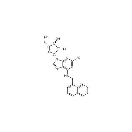 N#Cc1nc(NCc2cccc3ccccc23)c2ncn([C@@H]3O[C@H](CO)[C@@H](O)[C@@H]3O)c2n1